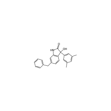 Cc1cc(C)cc(C2(O)C(=O)Nc3cc(Cc4ccccc4)ccc32)c1